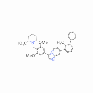 COc1cc(-c2cnc3cc(-c4cccc(-c5ccccc5)c4C)ccn23)cc(OC)c1CN1CCCCC1C(=O)O